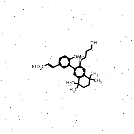 CCOC(=O)/C=C/c1ccc(OC)c(-c2cc3c(cc2OCCCO)C(C)(C)CCC3(C)C)c1